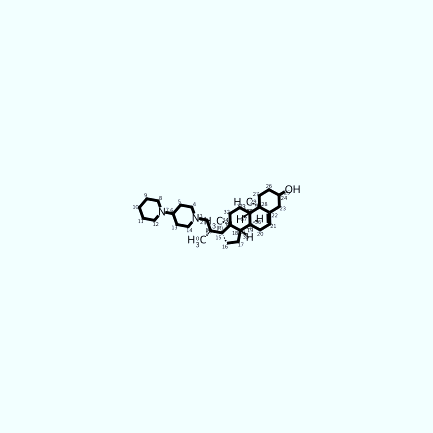 C[C@H](CN1CCC(N2CCCCC2)CC1)[C@H]1CC[C@H]2[C@@H]3CC=C4CC(O)CC[C@]4(C)[C@H]3CC[C@]12C